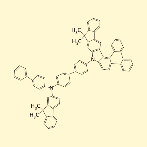 CC1(C)c2ccccc2-c2ccc(N(c3ccc(-c4ccccc4)cc3)c3ccc(-c4ccc(-n5c6cc7c(cc6c6c8c9ccccc9c9ccccc9c8ccc65)-c5ccccc5C7(C)C)cc4)cc3)cc21